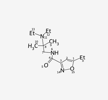 CCc1cc(C(=O)NCC(C)(C)N(CC)CC)no1